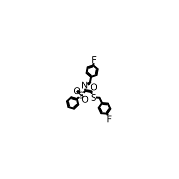 O=S(=O)(c1ccccc1)c1nc(-c2ccc(F)cc2)oc1SCc1ccc(F)cc1